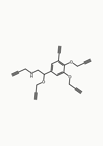 C#CCNCC(OCC#C)c1cc(C#C)c(OCC#C)c(OCC#C)c1